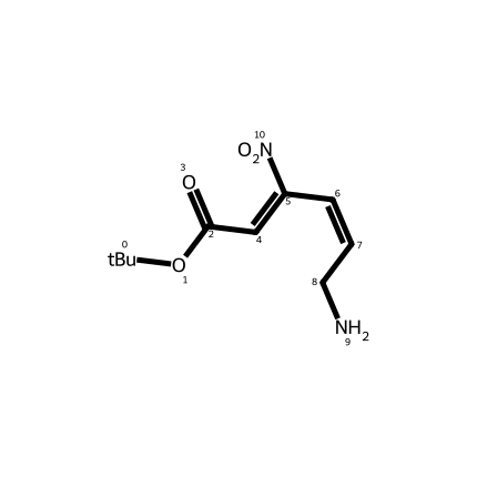 CC(C)(C)OC(=O)C=C(/C=C\CN)[N+](=O)[O-]